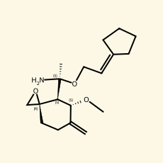 C=C1CC[C@]2(CO2)[C@@H]([C@@](C)(N)OCC=C2CCCC2)[C@@H]1OC